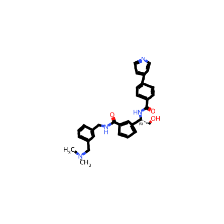 CN(C)Cc1cccc(CNC(=O)c2cccc([C@@H](CO)NC(=O)c3ccc(-c4ccncc4)cc3)c2)c1